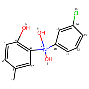 Cc1ccc(O)c([N+](O)(O)c2cccc(Cl)c2)c1